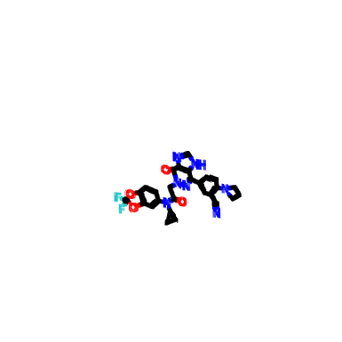 N#Cc1cc(-c2nn(CC(=O)N(c3ccc4c(c3)OC(F)(F)O4)C3CC3)c(=O)c3nc[nH]c23)ccc1N1CCC1